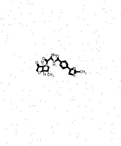 Cc1nc(-c2ccc(C(=O)NC(C(=O)N3C[C@H](C)[C@H]4OCC(=O)[C@H]43)C(C)(C)C)cc2)cs1